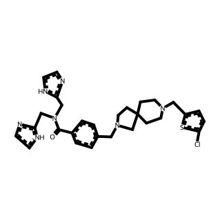 O=C(c1ccc(CN2CCC3(CCN(Cc4ccc(Cl)s4)CC3)C2)cc1)N(Cc1ncc[nH]1)Cc1ncc[nH]1